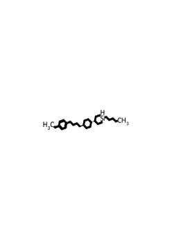 CCCCC[SiH]1CCC([C@H]2CC[C@H](CCCCc3ccc(CC)cc3)CC2)CC1